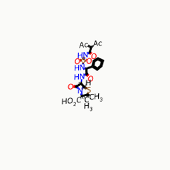 CC(=O)C(C(C)=O)C(=O)NS(=O)(=O)NC(C(=O)N[C@@H]1C(=O)N2[C@@H]1SC(C)(C)[C@@H]2C(=O)O)c1ccccc1